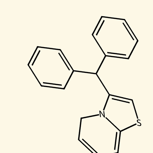 C1=CCN2C(=C1)SC=C2C(c1ccccc1)c1ccccc1